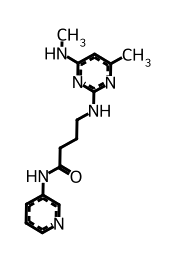 CNc1cc(C)nc(NCCCC(=O)Nc2cccnc2)n1